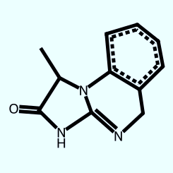 CC1C(=O)NC2=NCc3ccccc3N21